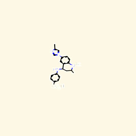 CC(=O)N1c2ccc(-n3cnc(C)c3)cc2C(Nc2ccc(C(=O)O)cc2)CC1C